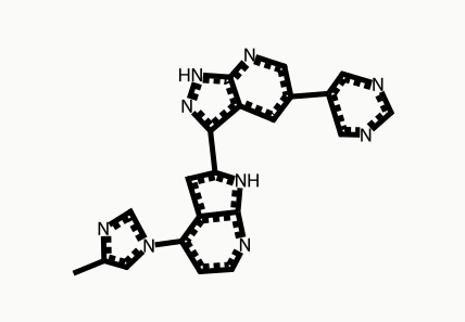 Cc1cn(-c2ccnc3[nH]c(-c4n[nH]c5ncc(-c6cncnc6)cc45)cc23)cn1